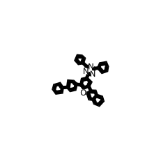 c1ccc(-c2ccc(-c3cc(-c4nc(-c5ccccc5)nc(-c5ccccc5)n4)cc4c3oc3cc5ccccc5cc34)cc2)cc1